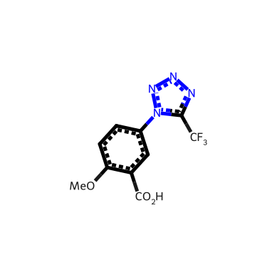 COc1ccc(-n2nnnc2C(F)(F)F)cc1C(=O)O